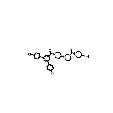 O=C(c1cc(-c2ccc(Cl)cc2)nc(-c2ccc(Cl)cc2)c1)N1CCC(N2CCC[C@@H](C(=O)N3CCC(O)CC3)C2)CC1